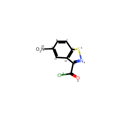 O=C(Cl)c1nsc2ccc([N+](=O)[O-])cc12